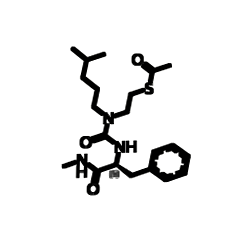 CNC(=O)[C@H](Cc1ccccc1)NC(=O)N(CCCC(C)C)CCSC(C)=O